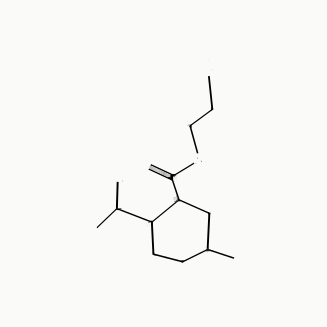 CC1CCC(C(C)C)C(C(=O)NCCO)C1